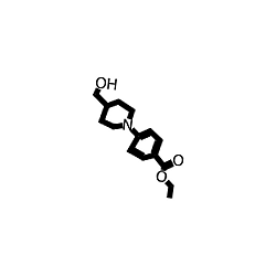 CCOC(=O)c1ccc(N2CCC(CO)CC2)cc1